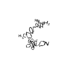 Cc1cc(OCCCONC(=N)N)cc(OS(=O)(=O)c2ccccc2S(=O)(=O)NCc2ccncc2)c1